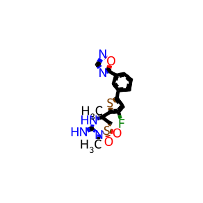 CN1C(=N)N[C@](C)(c2sc(-c3cccc(-c4ncno4)c3)cc2F)CS1(=O)=O